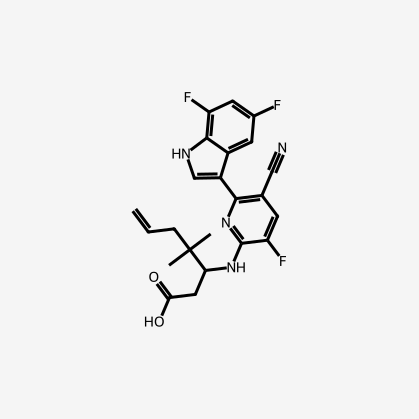 C=CCC(C)(C)C(CC(=O)O)Nc1nc(-c2c[nH]c3c(F)cc(F)cc23)c(C#N)cc1F